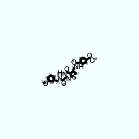 COC(=O)c1ccc(C(=O)NCc2csc3nc(C(=O)NCc4cccc(OC)c4)[nH]c(=O)c23)cc1